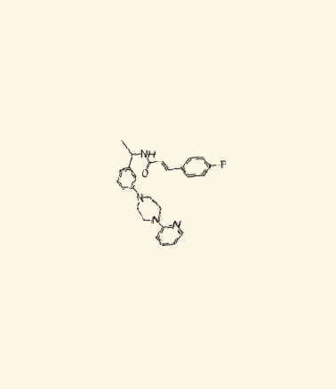 CC(NC(=O)C=Cc1ccc(F)cc1)c1cccc(N2CCN(c3ccccn3)CC2)c1